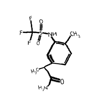 Cc1ccc(C(C)C(N)=O)cc1NS(=O)(=O)C(F)(F)F